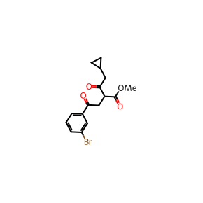 COC(=O)C(CC(=O)c1cccc(Br)c1)C(=O)CC1CC1